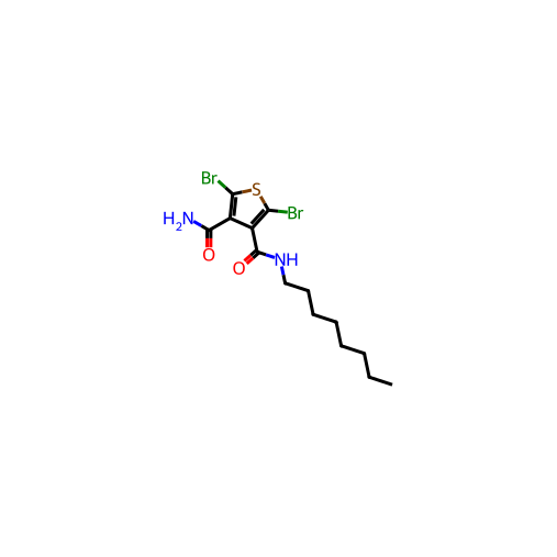 CCCCCCCCNC(=O)c1c(Br)sc(Br)c1C(N)=O